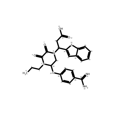 CCCN1C(=O)C(=O)N(C(CC(=O)O)c2cc3ccccc3s2)CC1Oc1ccc(C(=N)N)cc1